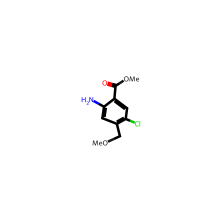 COCc1cc(N)c(C(=O)OC)cc1Cl